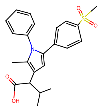 Cc1c(C(C(=O)O)C(C)C)cc(-c2ccc(S(C)(=O)=O)cc2)n1-c1ccccc1